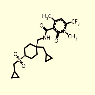 Cc1cc(C(F)(F)F)n(C)c(=O)c1C(=O)NC[C@]1(CC2CC2)CC[C@H](S(=O)(=O)CC2CC2)CC1